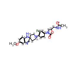 COc1ccc(NC2(C#N)CCN(c3ccc(N4CC(CNC(C)=O)OC4=O)cc3F)CC2)cc1